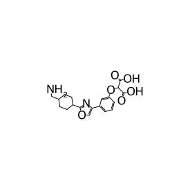 NCC1CCC(c2nc(-c3cccc(OC(C(=O)O)C(=O)O)c3)co2)CC1